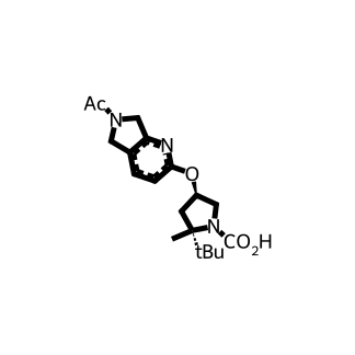 CC(=O)N1Cc2ccc(O[C@H]3CN(C(=O)O)[C@](C)(C(C)(C)C)C3)nc2C1